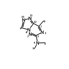 Cc1nc(N(C)C)nn2cnnc12